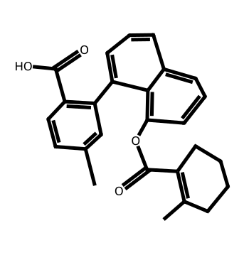 CC1=C(C(=O)Oc2cccc3cccc(-c4cc(C)ccc4C(=O)O)c23)CCCC1